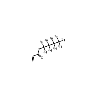 [2H]C([2H])([2H])C([2H])([2H])C([2H])([2H])C([2H])([2H])OC(=O)C=C